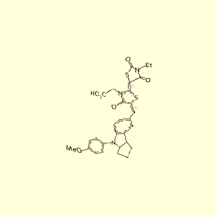 CCN1C(=O)S/C(=c2/s/c(=C/c3ccc4c(c3)C3CCCC3N4c3ccc(OC)cc3)c(=O)n2CC(=O)O)C1=O